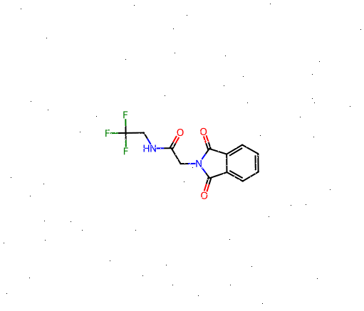 O=C(CN1C(=O)c2ccccc2C1=O)NCC(F)(F)F